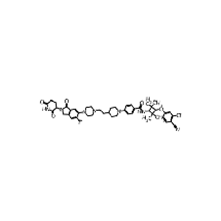 CC1(C)C(NC(=O)c2ccc(N3CCC(CCN4CCN(c5cc6c(cc5F)CN(C5CCC(=O)NC5=O)C6=O)CC4)CC3)cc2)C(C)(C)C1Oc1ccc(C#N)c(Cl)c1